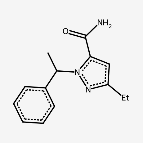 CCc1cc(C(N)=O)n(C(C)c2ccccc2)n1